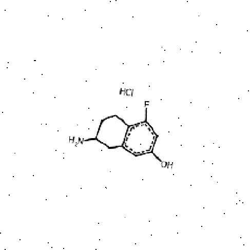 Cl.NC1CCc2c(F)cc(O)cc2C1